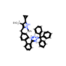 CCCN1NC(C2CC2)C(C(=O)OCC)=C1Cc1ccc(-c2ccccc2-c2nnn(C(c3ccccc3)(c3ccccc3)c3ccccc3)n2)cc1